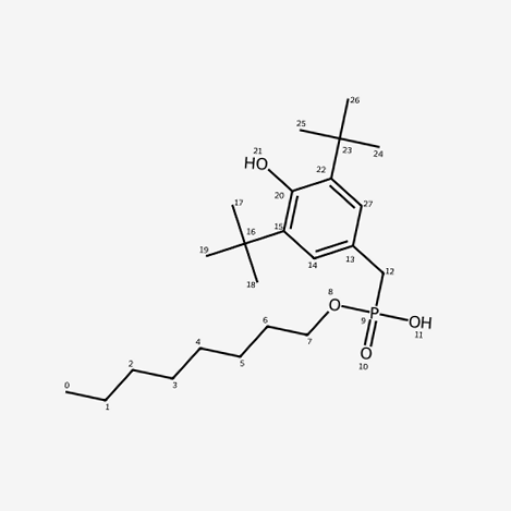 CCCCCCCCOP(=O)(O)Cc1cc(C(C)(C)C)c(O)c(C(C)(C)C)c1